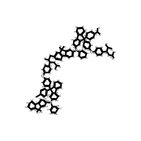 Cc1ccc(C2(c3ccc(Oc4ccc(C(CC(C)C)C(C)Cc5ccc6c(c5)C(C)(C)c5cc(N(c7ccccc7)c7ccc8c(c7)C(c7ccc(Oc9ccc(C(CC(C)C)C(C)C)cc9)cc7)(c7ccc(C(C)C)cc7)c7ccccc7-8)ccc5-6)cc4)cc3)c3ccccc3-c3ccc(N(c4ccccc4)c4ccc5c(c4)C(C)(C)c4ccccc4-5)cc32)cc1